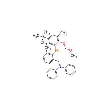 COCOc1c(C)cc(C(C)(C)C)cc1Pc1c(C)cccc1CN(c1ccccc1)c1ccccc1